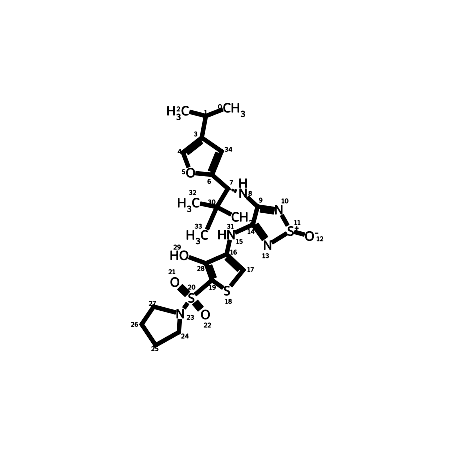 CC(C)c1coc([C@H](Nc2n[s+]([O-])nc2Nc2csc(S(=O)(=O)N3CCCC3)c2O)C(C)(C)C)c1